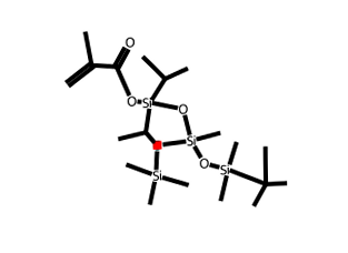 C=C(C)C(=O)O[Si](O[Si](C)(O[Si](C)(C)C)O[Si](C)(C)C(C)(C)C)(C(C)C)C(C)C